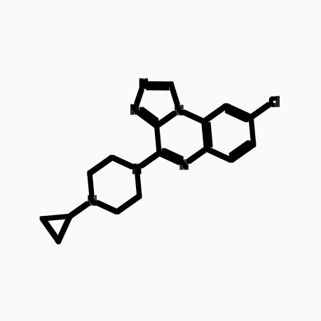 Clc1ccc2nc(N3CCN(C4CC4)CC3)c3nncn3c2c1